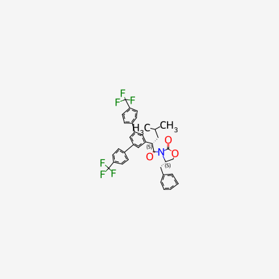 CC(C)C[C@H](C(=O)N1C(=O)OC[C@@H]1Cc1ccccc1)c1cc(-c2ccc(C(F)(F)F)cc2)cc(-c2ccc(C(F)(F)F)cc2)c1